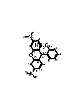 CN(C)c1ccc2c(c1)OC1=C(C=CC(N(C)C)C1)C2c1ccccc1C(=O)O